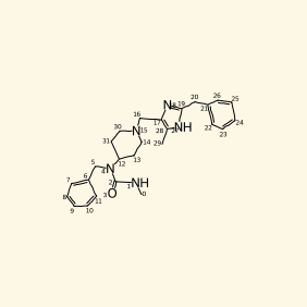 CNC(=O)N(Cc1ccccc1)C1CCN(Cc2nc(Cc3ccccc3)[nH]c2C)CC1